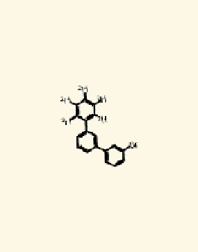 [2H]c1c([2H])c([2H])c(-c2cccc(-c3cccc(Br)c3)c2)c([2H])c1[2H]